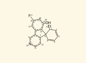 CCC1C=CC=CC1(c1ccncc1)c1ccc(F)cc1O